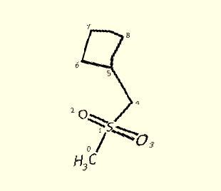 CS(=O)(=O)CC1CCC1